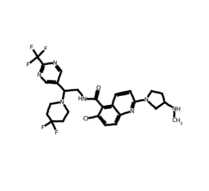 CNC1CCN(c2ccc3c(C(=O)NCC(c4cnc(C(F)(F)F)nc4)N4CCC(F)(F)CC4)c(Cl)ccc3n2)C1